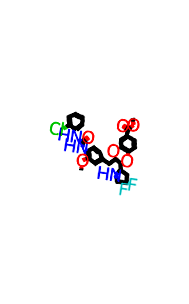 COC(=O)c1ccc(OC(C(=O)Cc2ccc(NC(=O)Nc3ccccc3Cl)c(OC)c2)C2CC(F)(F)CN2)cc1